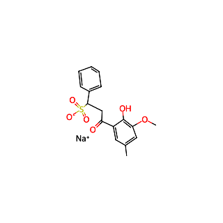 COc1cc(C)cc(C(=O)CC(c2ccccc2)S(=O)(=O)[O-])c1O.[Na+]